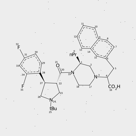 CCC[C@H]1CN(C(Cc2ccc3ccccc3c2)C(=O)O)CCN1C(=O)[C@@H]1CN(C(C)(C)C)C[C@H]1c1ccc(F)cc1F